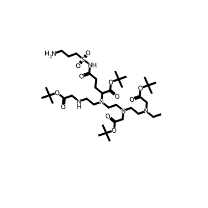 CCN(CCN(CCN(CCNCC(=O)OC(C)(C)C)C(CCC(=O)NS(=O)(=O)CCCN)C(=O)OC(C)(C)C)CC(=O)OC(C)(C)C)CC(=O)OC(C)(C)C